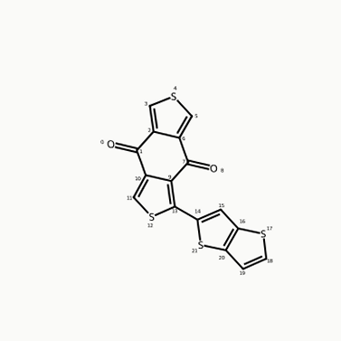 O=C1c2cscc2C(=O)c2c1csc2-c1cc2sccc2s1